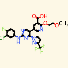 COCCOc1ncc(-c2cnc(Nc3ccc(F)c(Cl)c3)nc2-n2ccc(C(F)(F)F)n2)cc1C(=O)O